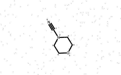 N#CN1C[CH]OCC1